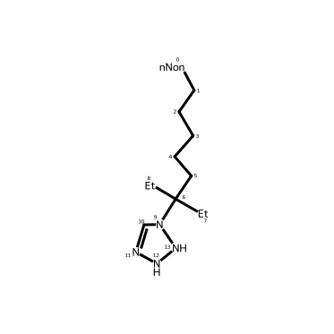 CCCCCCCCCCCCCCC(CC)(CC)N1C=NNN1